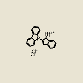 [Cl-].[Cl-].[Hf+2][CH]1C(p2c3ccccc3c3ccccc32)=Cc2ccccc21